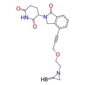 B=C1CN1CCOCC#Cc1cccc2c1CN(C1CCC(=O)NC1=O)C2=O